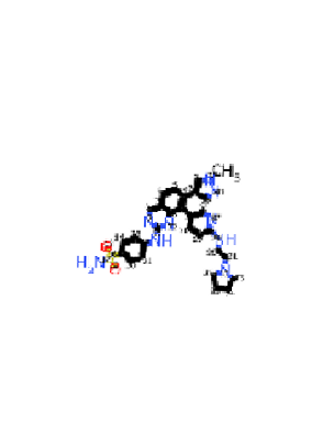 Cn1cc(-c2ccc3cnc(Nc4ccc(S(N)(=O)=O)cc4)nc3c2-c2ccc(NCCN3CCCC3)nc2)cn1